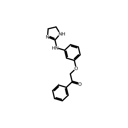 O=C(COc1cccc(NC2=NCCN2)c1)c1[c]cccc1